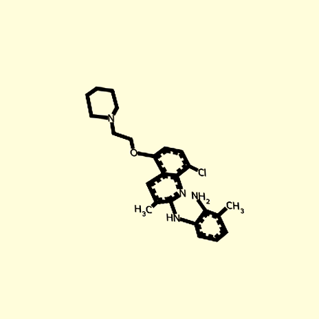 Cc1cc2c(OCCN3CCCCC3)ccc(Cl)c2nc1Nc1cccc(C)c1N